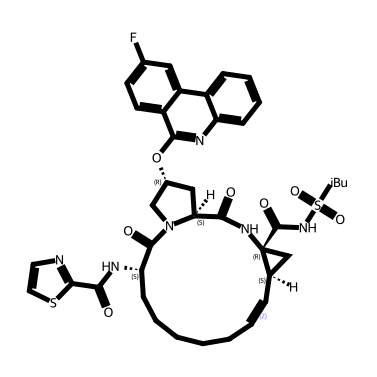 CCC(C)S(=O)(=O)NC(=O)[C@@]12C[C@H]1/C=C\CCCCC[C@H](NC(=O)c1nccs1)C(=O)N1C[C@H](Oc3nc4ccccc4c4cc(F)ccc34)C[C@H]1C(=O)N2